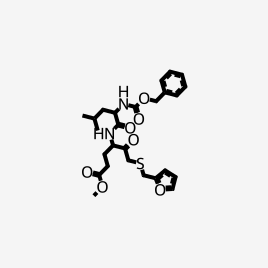 COC(=O)CCC(NC(=O)C(CC(C)C)NC(=O)OCc1ccccc1)C(=O)CSCc1ccco1